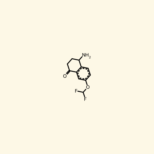 NC1CCC(=O)c2cc(OC(F)F)ccc21